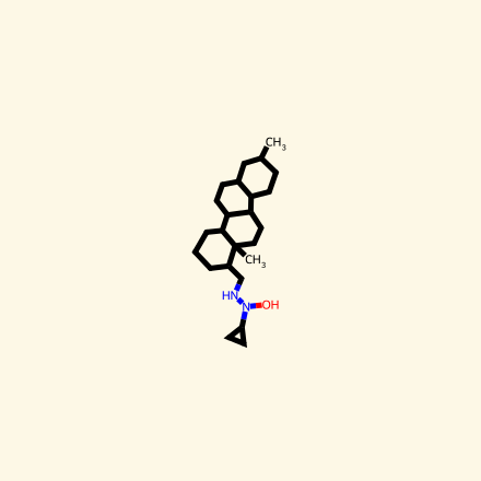 CC1CCC2C(CCC3C2CCC2(C)C(CNN(O)C4CC4)CCCC32)C1